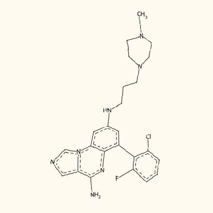 CN1CCN(CCCNc2cc(-c3c(F)cccc3Cl)c3nc(N)c4cncn4c3c2)CC1